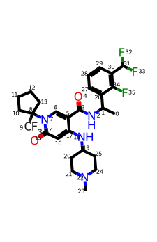 CC(NC(=O)c1cn(C2(C(F)(F)F)CCCC2)c(=O)cc1NC1CCN(C)CC1)c1cccc(C(F)F)c1F